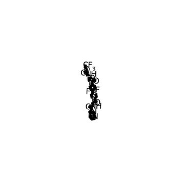 O=C(NC[C@H]1CN(c2cc(F)c(N3CCN(C(=O)CNC(=O)c4cn5cccnc5n4)CC3)c(F)c2)C(=O)O1)OCC(F)(F)F